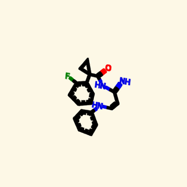 N=C(/C=C\Nc1ccccc1)NC(=O)C1(c2ccccc2F)CC1